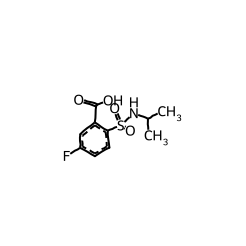 CC(C)NS(=O)(=O)c1ccc(F)cc1C(=O)O